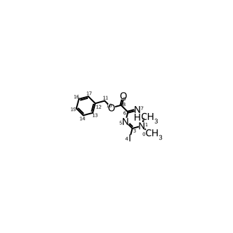 CN(C)/C(I)=N\C(=N)C(=O)OCc1ccccc1